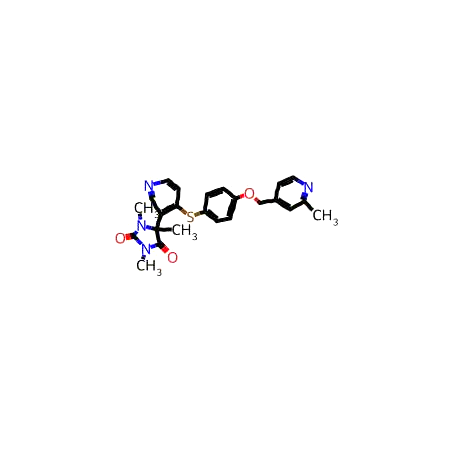 Cc1cc(COc2ccc(Sc3ccncc3C3(C)C(=O)N(C)C(=O)N3C)cc2)ccn1